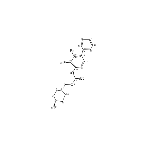 CCC[C@H]1CC[C@H](COC(CC)Oc2ccc(-c3ccccc3)c(F)c2F)CC1